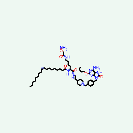 CCCCCCCC/C=C\CCCCCCCC(=O)N[C@@H](CCCCNC(=O)CON)C(=O)NCCC1CCN(Cc2ccc(Cn3c(=O)[nH]c4c(N)nc(OCCCC)nc43)cc2)CC1